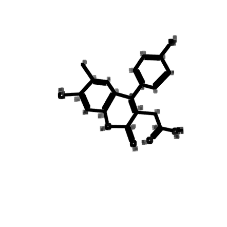 Cc1cc2c(-c3ccc(Br)cc3)c(CC(=O)O)c(=O)oc2cc1Cl